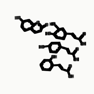 O=C(O)C=Cc1ccc(O)c(O)c1.O=C(O)C=Cc1ccc(O)cc1.O=C(O)C=Cc1ccccc1O.O=c1ccc2ccc(O)cc2o1